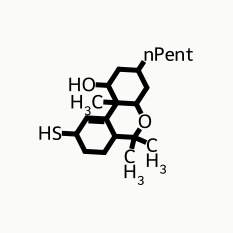 CCCCCC1CC(O)C2(C)C3=CC(S)CCC3C(C)(C)OC2C1